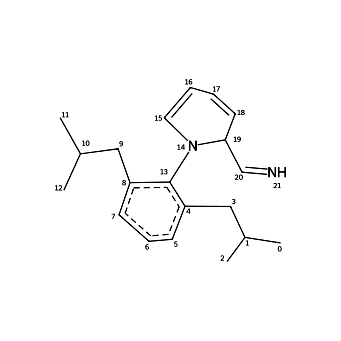 CC(C)Cc1cccc(CC(C)C)c1N1C=CC=CC1C=N